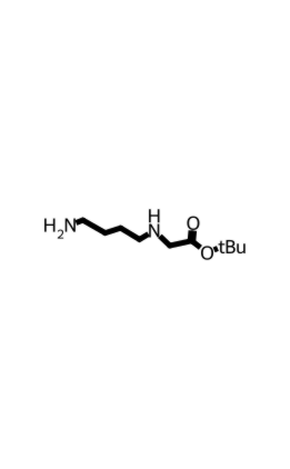 CC(C)(C)OC(=O)CNCCCCN